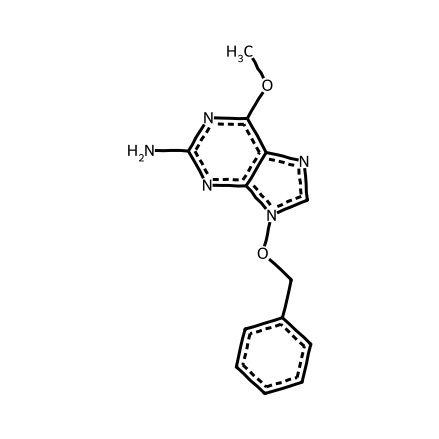 COc1nc(N)nc2c1ncn2OCc1ccccc1